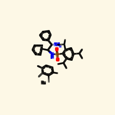 CC(C)c1cc(C(C)C)c(S(=O)(=O)N[C@@H](c2ccccc2)[C@@H](N)c2ccccc2)c(C(C)C)c1.Cc1ccc(C)c(C)c1C.[Ru]